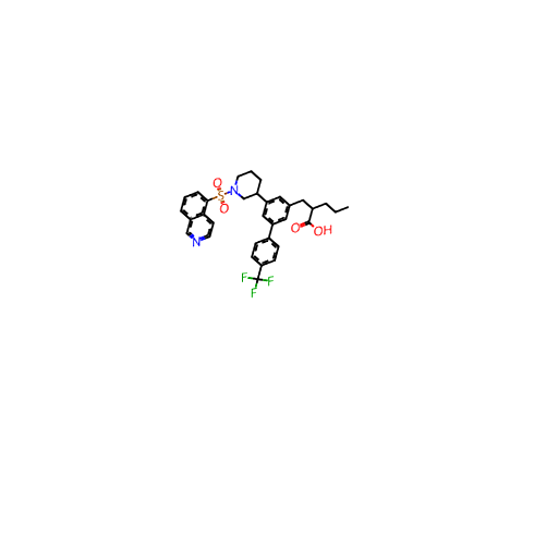 CCCC(Cc1cc(-c2ccc(C(F)(F)F)cc2)cc(C2CCCN(S(=O)(=O)c3cccc4cnccc34)C2)c1)C(=O)O